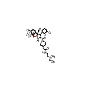 CC(C)(C)C[C@@H]1N[C@@H](C(=O)N2CCN(CC(=O)NCC[C@H](O)CO)CC2)C(c2cccc(Cl)c2F)C1(C#N)c1ccc(Cl)cc1F